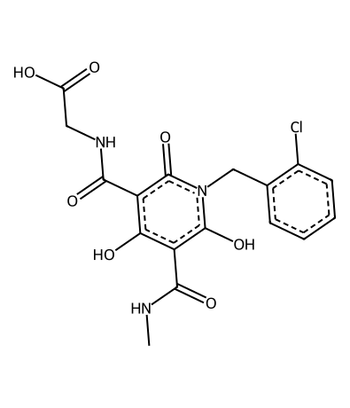 CNC(=O)c1c(O)c(C(=O)NCC(=O)O)c(=O)n(Cc2ccccc2Cl)c1O